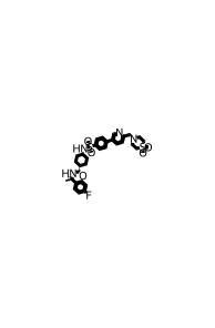 C[C@@H](NC(=O)[C@H]1CC[C@H](NS(=O)(=O)c2ccc(-c3ccc(CN4CCS(=O)(=O)CC4)nc3)cc2)CC1)c1ccc(F)cc1